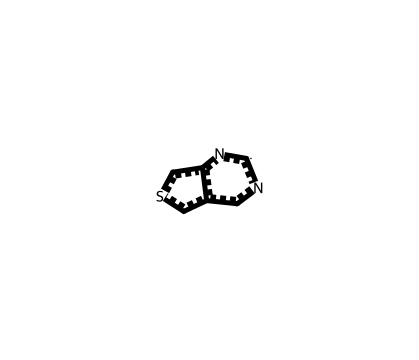 [c]1ncc2cscc2n1